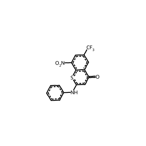 O=c1cc(Nc2ccccc2)sc2c([N+](=O)[O-])cc(C(F)(F)F)cc12